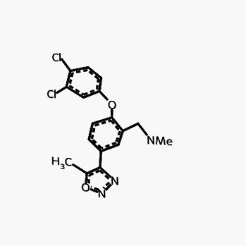 CNCc1cc(-c2nnoc2C)ccc1Oc1ccc(Cl)c(Cl)c1